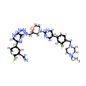 CN1CCN(Cc2ccc(-c3cnc(N4CCOC(Cn5nnc6ncc(-c7ccc(F)c(C#N)c7)nc65)C4)nc3)cc2F)CC1